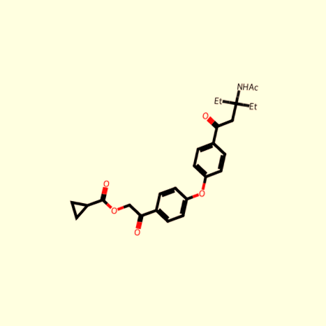 CCC(CC)(CC(=O)c1ccc(Oc2ccc(C(=O)COC(=O)C3CC3)cc2)cc1)NC(C)=O